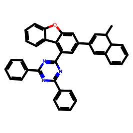 CC1C=C(c2cc(-c3nc(-c4ccccc4)nc(-c4ccccc4)n3)c3c(c2)oc2ccccc23)C=C2C=CC=CC21